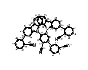 N#Cc1cccc(-c2cc(-n3c4ccccc4c4ccc(-c5ccccc5C#N)cc43)c(-n3c4ccccc4c4ccc(-c5ccccc5C#N)cc43)cc2C#N)c1